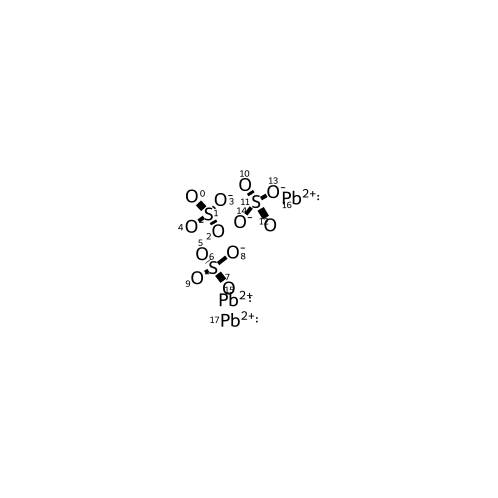 O=S(=O)([O-])[O-].O=S(=O)([O-])[O-].O=S(=O)([O-])[O-].[Pb+2].[Pb+2].[Pb+2]